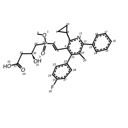 COP(=O)(C=Cc1c(C2CC2)nc(-c2ccccc2)c(C)c1-c1ccc(F)cc1)C[C@@H](O)CC(=O)O